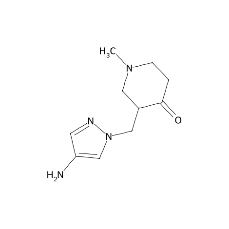 CN1CCC(=O)C(Cn2cc(N)cn2)C1